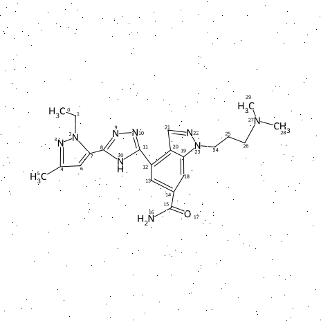 CCn1nc(C)cc1-c1nnc(-c2cc(C(N)=O)cc3c2cnn3CCCN(C)C)[nH]1